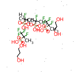 CC(C)(F)S(=O)(=O)O.CC(C)(F)S(=O)(=O)O.CC(F)(C(F)(F)F)S(=O)(=O)O.CC(F)(C(F)(F)F)S(=O)(=O)O.OCCCO.OCCCO